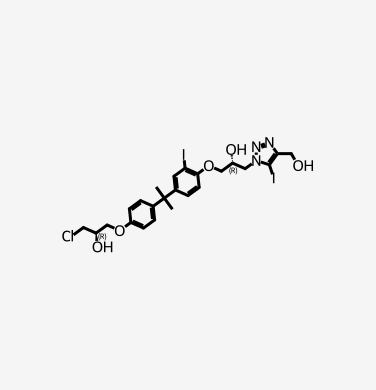 CC(C)(c1ccc(OC[C@@H](O)CCl)cc1)c1ccc(OC[C@H](O)Cn2nnc(CO)c2I)c(I)c1